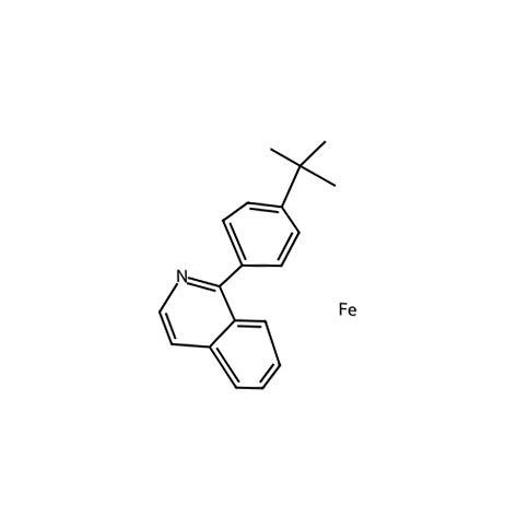 CC(C)(C)c1ccc(-c2nccc3ccccc23)cc1.[Fe]